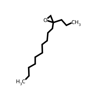 CCCCCCCCCCC1(CCC)CO1